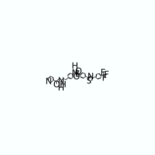 O=S(=O)(Nc1ccc(CCNCC(O)c2cccnc2)cc1)c1ccc(-c2nc(-c3ccc(C(F)(F)F)cc3)cs2)cc1